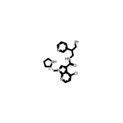 CC(C)CC(CNC(=O)c1cn(C[C@@H]2CCCN2)c2nccc(Cl)c12)c1cccnc1